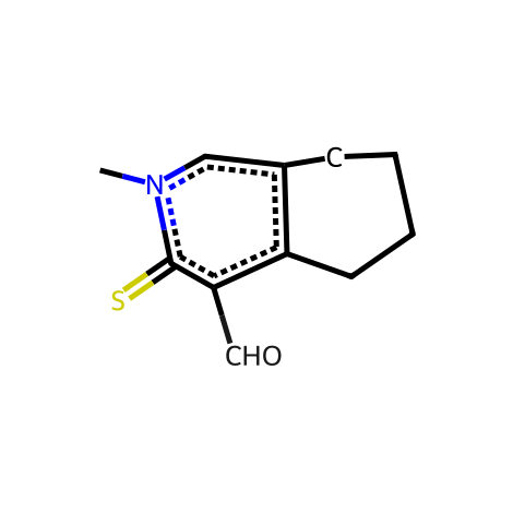 Cn1cc2c(c(C=O)c1=S)CCCC2